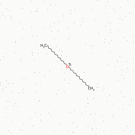 CCCCCCCCCCCCCCOCCCCCCCCCCCCCC.[Ti]